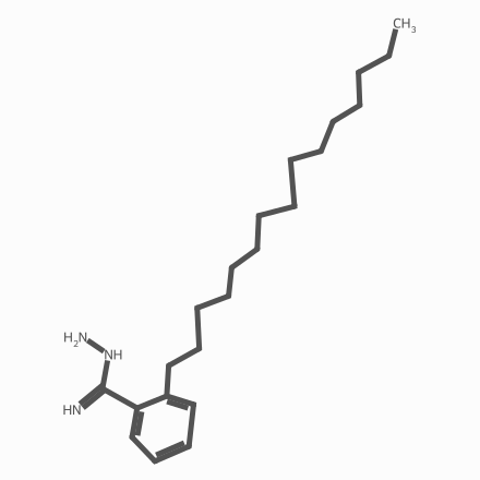 CCCCCCCCCCCCCCCc1ccccc1C(=N)NN